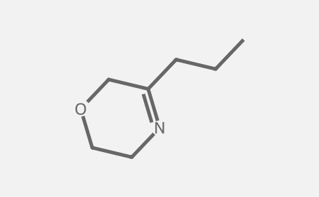 CCCC1=NCCOC1